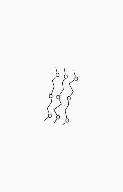 COCCOCCOC.COCCOCCOC.COCCOCCOC